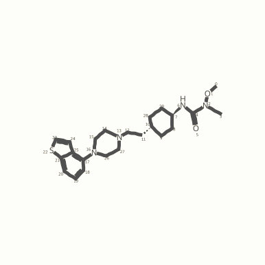 CON(C)C(=O)N[C@H]1CC[C@H](CCN2CCN(c3cccc4sccc34)CC2)CC1